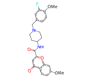 COc1ccc2c(=O)cc(C(=O)NC3CCN(Cc4ccc(OC)c(F)c4)CC3)oc2c1